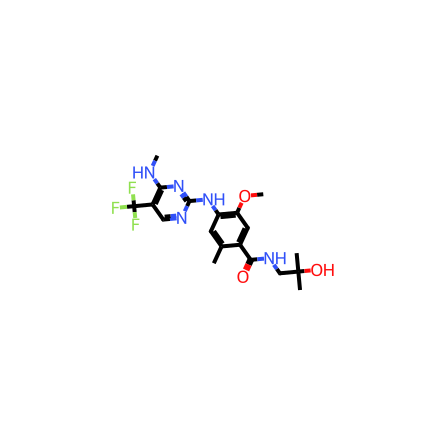 CNc1nc(Nc2cc(C)c(C(=O)NCC(C)(C)O)cc2OC)ncc1C(F)(F)F